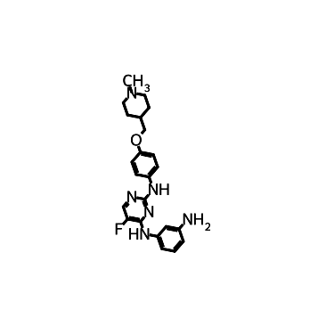 CN1CCC(COc2ccc(Nc3ncc(F)c(Nc4cccc(N)c4)n3)cc2)CC1